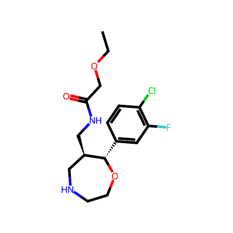 CCOCC(=O)NC[C@@H]1CNCCO[C@H]1c1ccc(Cl)c(F)c1